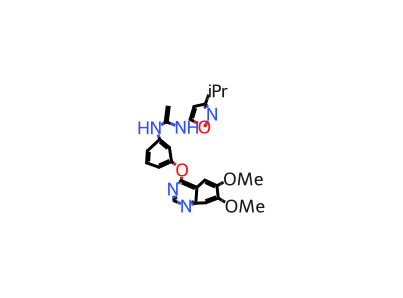 C=C(Nc1cccc(Oc2ncnc3cc(OC)c(OC)cc23)c1)Nc1cc(C(C)C)no1